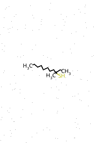 CCCCCCCC[C@](C)(S)CC